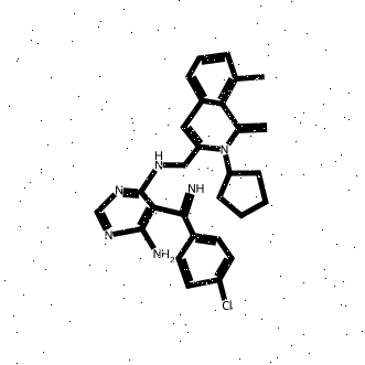 C=C1c2c(C)cccc2C=C(CNc2ncnc(N)c2C(=N)c2ccc(Cl)cc2)N1C1CCCC1